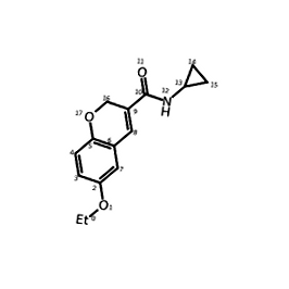 CCOc1ccc2c(c1)C=C(C(=O)NC1CC1)CO2